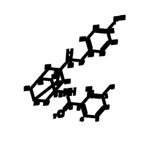 Cc1cccc(C(=O)NC23CC4CC(CC(NCc5ccc(F)cc5)(C4)C2)C3)n1